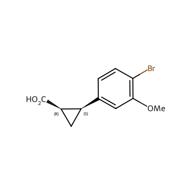 COc1cc([C@H]2C[C@H]2C(=O)O)ccc1Br